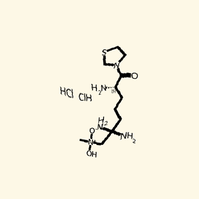 C[N+]([O-])(O)CC(N)(N)CCC[C@H](N)C(=O)N1CCSC1.Cl.Cl